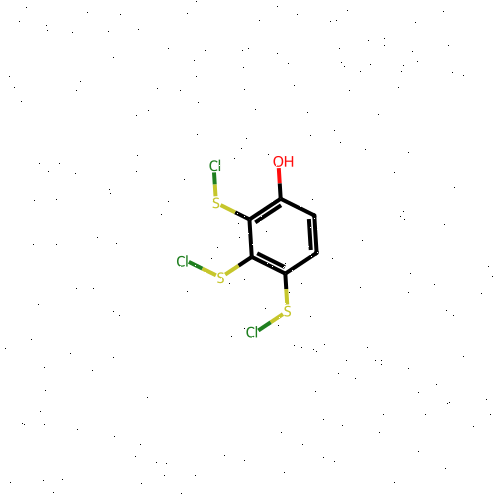 Oc1ccc(SCl)c(SCl)c1SCl